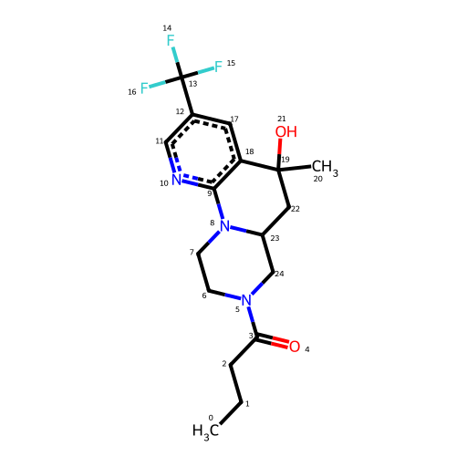 CCCC(=O)N1CCN2c3ncc(C(F)(F)F)cc3C(C)(O)CC2C1